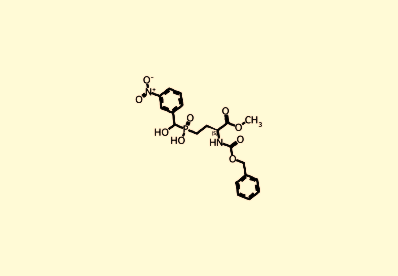 COC(=O)[C@H](CCP(=O)(O)C(O)c1cccc([N+](=O)[O-])c1)NC(=O)OCc1ccccc1